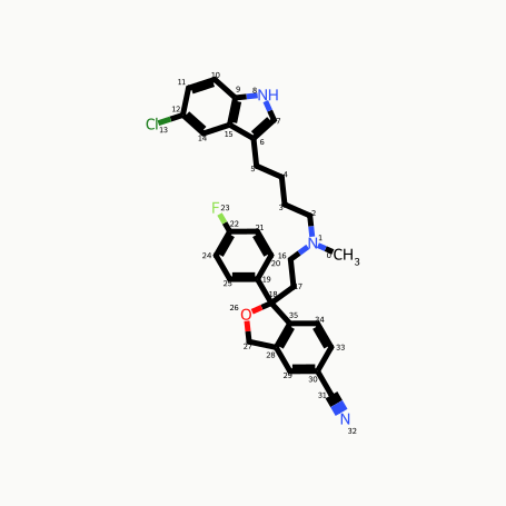 CN(CCCCc1c[nH]c2ccc(Cl)cc12)CCC1(c2ccc(F)cc2)OCc2cc(C#N)ccc21